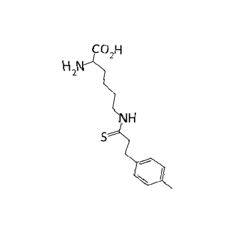 Cc1ccc(CCC(=S)NCCCCC(N)C(=O)O)cc1